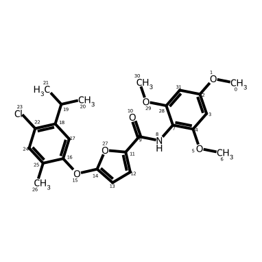 COc1cc(OC)c(NC(=O)c2ccc(Oc3cc(C(C)C)c(Cl)cc3C)o2)c(OC)c1